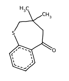 CC1(C)CSc2ccccc2C(=O)C1